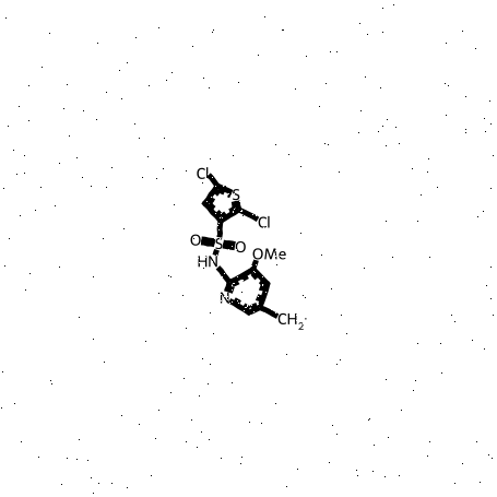 [CH2]c1cnc(NS(=O)(=O)c2cc(Cl)sc2Cl)c(OC)c1